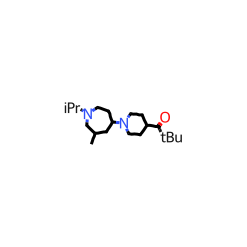 CC1CC(N2CCC(C(=O)C(C)(C)C)CC2)CCN(C(C)C)C1